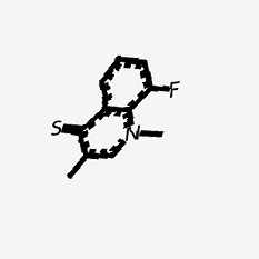 Cc1cn(C)c2c(F)cccc2c1=S